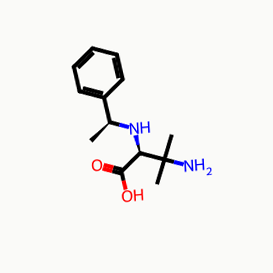 C[C@H](N[C@H](C(=O)O)C(C)(C)N)c1ccccc1